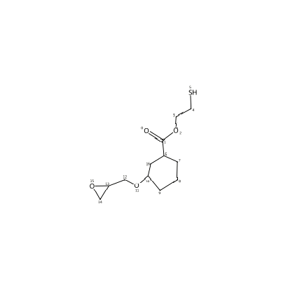 O=C(OCCS)C1CCCC(OCC2CO2)C1